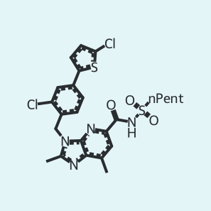 CCCCCS(=O)(=O)NC(=O)c1cc(C)c2nc(C)n(Cc3ccc(-c4ccc(Cl)s4)cc3Cl)c2n1